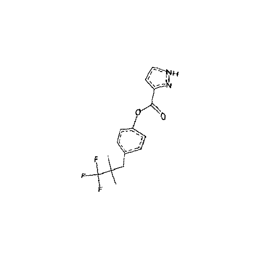 CC(C)(Cc1ccc(OC(=O)c2cc[nH]n2)cc1)C(F)(F)F